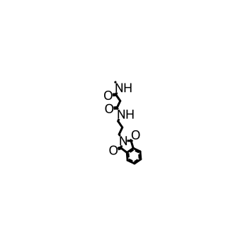 CNC(=O)CC(=O)NCCCN1C(=O)c2ccccc2C1=O